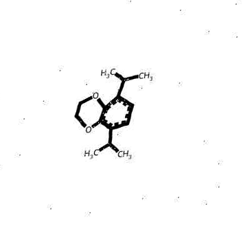 CC(C)c1ccc(C(C)C)c2c1OCCO2